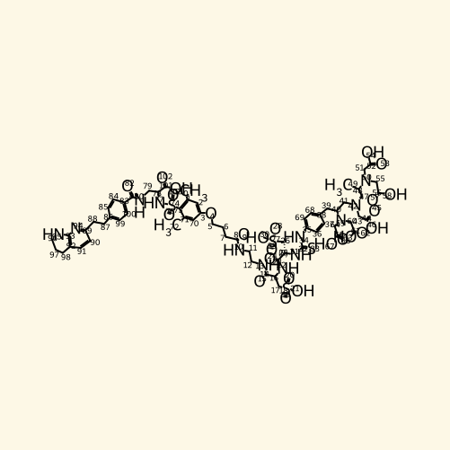 Cc1cc(OCCCC(=O)NCCNC(=O)C(CS(=O)(=O)O)NC(=O)[C@H](CS(=O)(=O)O)NC(=S)Nc2ccc(CC(CN(CC(=O)O)CC(C)N(CC(=O)O)CC(=O)O)N(CC(=O)O)CC(=O)O)cc2)cc(C)c1S(=O)(=O)NC(CNC(=O)c1ccc(CCc2ccc3c(n2)NCCC3)cc1)C(=O)O